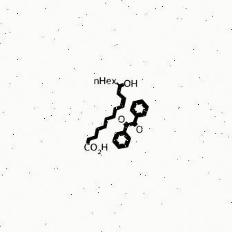 CCCCCC[C@@H](O)C/C=C\CCCCCCCC(=O)O.O=C(C(=O)c1ccccc1)c1ccccc1